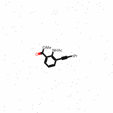 CCCC#Cc1cccc(C(=O)OC)c1NC(C)=O